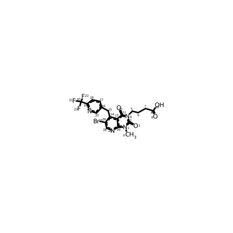 Cn1c(=O)n(CCCC(=O)O)c(=O)c2c(Cc3ccc(C(F)(F)F)nc3)c(Br)cnc21